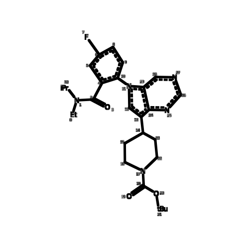 CCN(C(=O)c1cc(F)ccc1-n1cc(C2CCN(C(=O)OC(C)(C)C)CC2)c2ncncc21)C(C)C